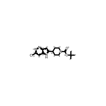 CC(C)(C)OC(=O)N1CCC(c2cc3nnc(Cl)cc3[nH]2)CC1